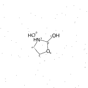 Cl.OC1NCCO1